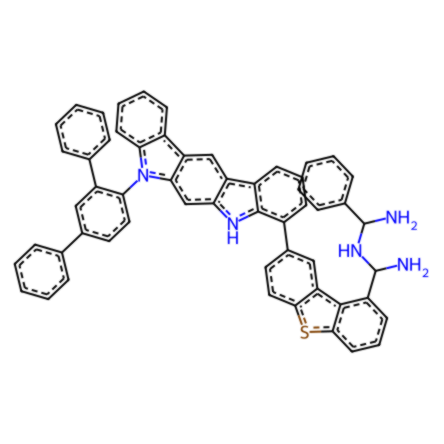 NC(NC(N)c1cccc2sc3ccc(-c4cccc5c4[nH]c4cc6c(cc45)c4ccccc4n6-c4ccc(-c5ccccc5)cc4-c4ccccc4)cc3c12)c1ccccc1